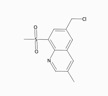 Cc1cnc2c(S(C)(=O)=O)cc(CCl)cc2c1